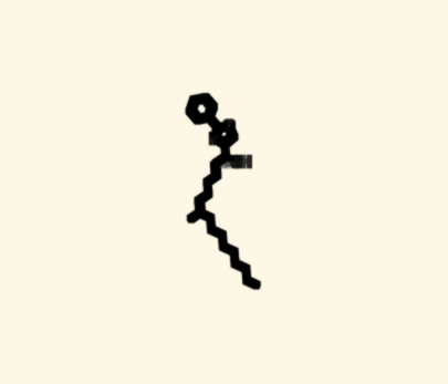 CCCCCCCCCC(C)=CCCC=C[C@H](O)c1coc(-c2ccccc2)n1